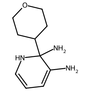 NC1=CC=CNC1(N)C1CCOCC1